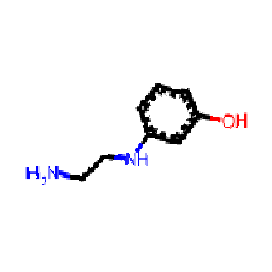 NCCNc1cccc(O)c1